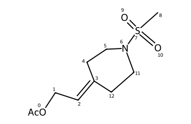 CC(=O)OCC=C1CCN(S(C)(=O)=O)CC1